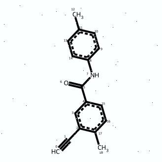 C#Cc1cc(C(=O)Nc2ccc(C)cc2)ccc1C